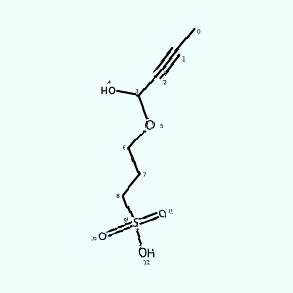 CC#CC(O)OCCCS(=O)(=O)O